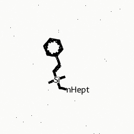 CCCCCCCC[Si](C)(C)C=Cc1ccccc1